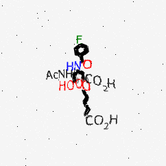 CC(=O)N[C@@H]1[C@@H](NC(=O)c2ccc(F)cc2)C[C@](OCCCCCC(=O)O)(C(=O)O)O[C@H]1O